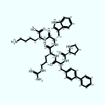 N=C(N)NCCC[C@H](NC(=O)[C@H](Cc1ccc(-c2ccccc2)cc1)NC(=O)[C@@H]1CCCN1)C(=O)N[C@@H](Cc1c[nH]c2ccccc12)C(=O)N[C@@H](CCCCN)C(=O)O